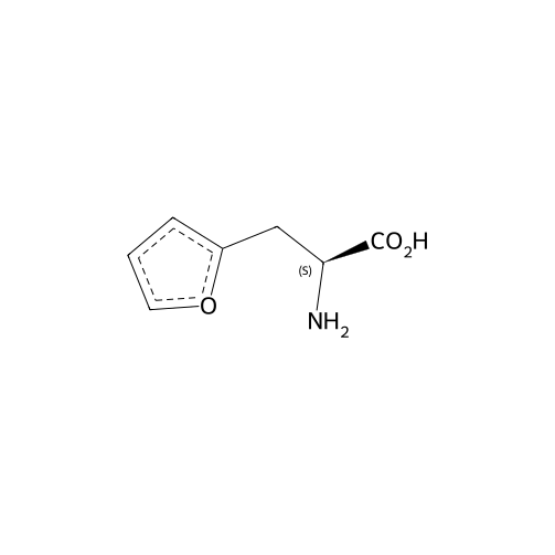 N[C@@H](Cc1ccco1)C(=O)O